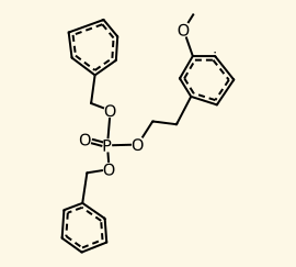 COc1[c]ccc(CCOP(=O)(OCc2ccccc2)OCc2ccccc2)c1